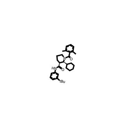 Cc1cccc(C)c1C(=O)N1CCC[C@H](C(=O)Nc2cccc(C(C)(C)C)c2)[C@@H]1C1CCCCC1